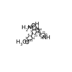 COc1ccc(-c2cc(C(N)=O)c3[nH]cc(C4CCNCC4)c3c2)cc1